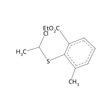 CCOC(=O)c1cccc(C)c1SC(C)Cl